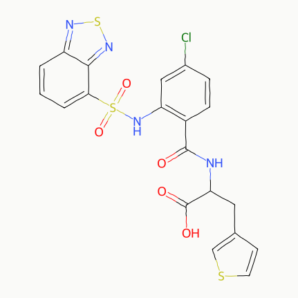 O=C(NC(Cc1ccsc1)C(=O)O)c1ccc(Cl)cc1NS(=O)(=O)c1cccc2nsnc12